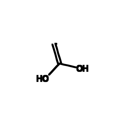 [CH]=C(O)O